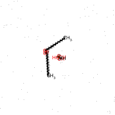 CCCCCCCCC=CCCCCCCCC(=O)OC(=O)CCCCCCCC=CCCCCCCCC.O=P(O)(O)O.[KH]